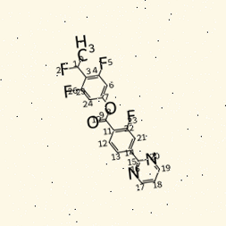 CC(F)c1c(F)cc(OC(=O)c2ccc(-c3ncccn3)cc2F)cc1F